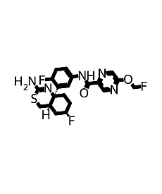 NC1=N[C@@]2(C3=CC(NC(=O)c4cnc(OCF)cn4)=CCC3F)CC[C@@H](F)C[C@H]2CS1